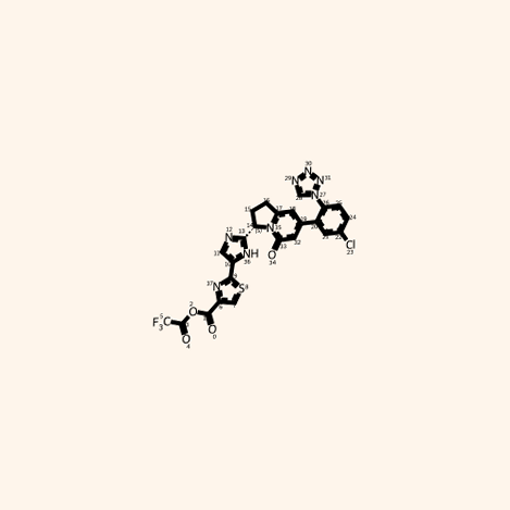 O=C(OC(=O)C(F)(F)F)c1csc(-c2cnc([C@@H]3CCc4cc(-c5cc(Cl)ccc5-n5cnnn5)cc(=O)n43)[nH]2)n1